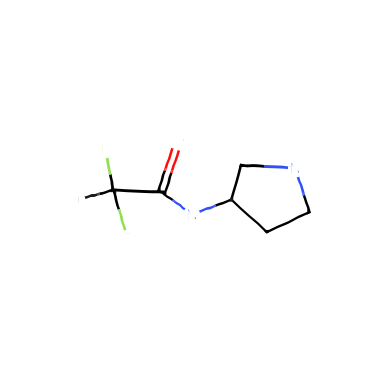 CCC(F)(F)C(=O)NC1CCNC1